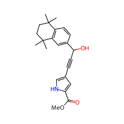 COC(=O)c1cc(C#CC(O)c2ccc3c(c2)C(C)(C)CCC3(C)C)c[nH]1